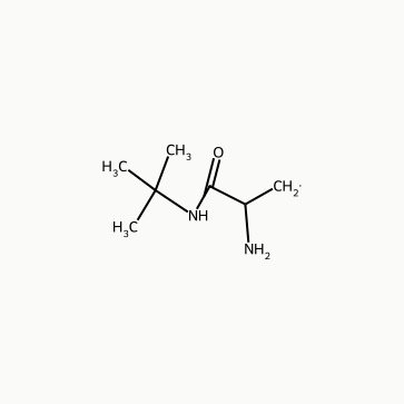 [CH2]C(N)C(=O)NC(C)(C)C